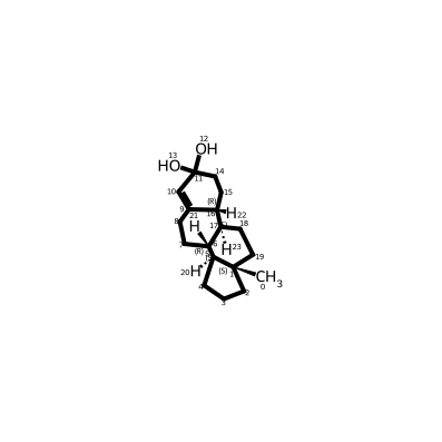 C[C@@]12CCC[C@H]1[C@@H]1CCC3=CC(O)(O)CC[C@@H]3[C@H]1CC2